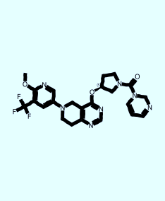 COc1ncc(N2CCc3ncnc(O[C@H]4CCN(C(=O)N5C=CC=NC5)C4)c3C2)cc1C(F)(F)F